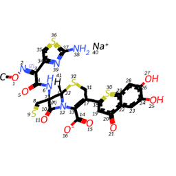 CO/N=C(\C(=O)N[C@]1(C=S)C(=O)N2C(C(=O)[O-])=C(c3cc(=O)c4cc(O)c(O)cc4s3)CS[C@H]21)c1csc(N)n1.[Na+]